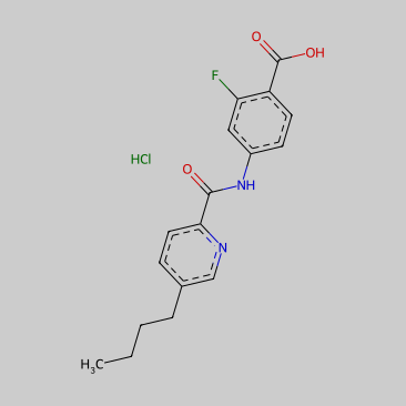 CCCCc1ccc(C(=O)Nc2ccc(C(=O)O)c(F)c2)nc1.Cl